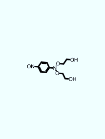 O=Nc1ccc(N(OCCO)OCCO)cc1